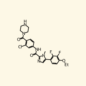 CCOc1ccc(-c2cnc(C(=O)Nc3ccc(C(=O)N4CCNCC4)c(Cl)c3)n2C)c(F)c1F